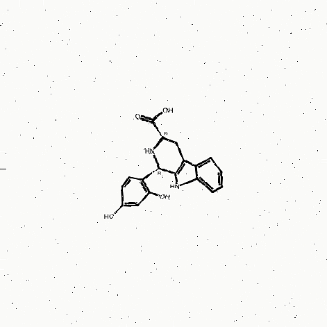 O=C(O)[C@H]1Cc2c([nH]c3ccccc23)[C@@H](c2ccc(O)cc2O)N1